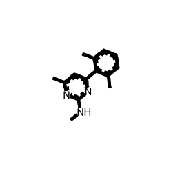 CNc1nc(C)cc(-c2c(C)cccc2C)n1